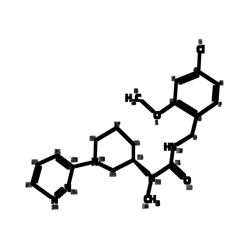 COc1cc(Cl)ccc1CNC(=O)N(C)[C@@H]1CCCN(c2cccnn2)C1